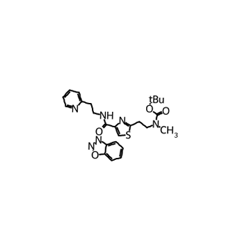 CN(CCc1nc(C(=O)NCCc2ccccn2)cs1)C(=O)OC(C)(C)C.c1ccc2onnc2c1